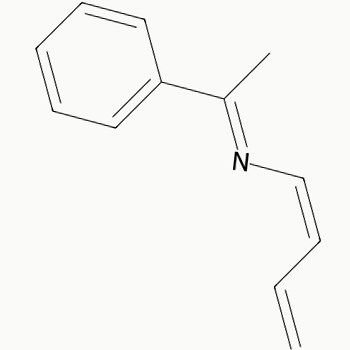 C=C/C=C\N=C(/C)c1ccccc1